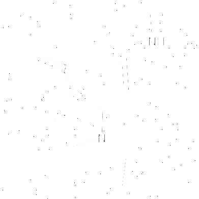 C=C(C)c1ccn(C(C)C)c1/C=C(\C)NC